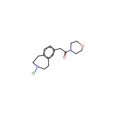 O=C(Cc1ccc2c(c1)CCN(Cl)CC2)N1CCOCC1